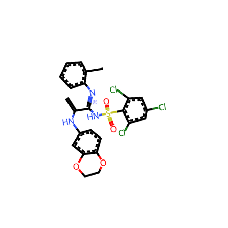 C=C(Nc1ccc2c(c1)OCCO2)/C(=N\c1ccccc1C)NS(=O)(=O)c1c(Cl)cc(Cl)cc1Cl